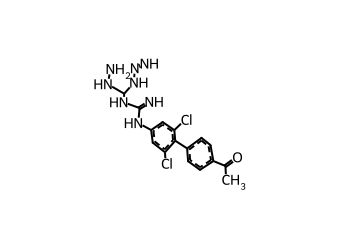 CC(=O)c1ccc(-c2c(Cl)cc(NC(=N)NC(NN)NN=N)cc2Cl)cc1